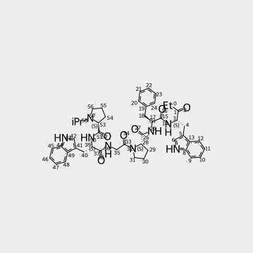 CCC(=O)[C@H](Cc1c[nH]c2ccccc12)NC(=O)[C@H](Cc1ccccc1)NC(=O)[C@@H]1CCCN1C(=O)CNC(=O)[C@H](Cc1c[nH]c2ccccc12)NC(=O)[C@@H]1CCCN1C(C)C